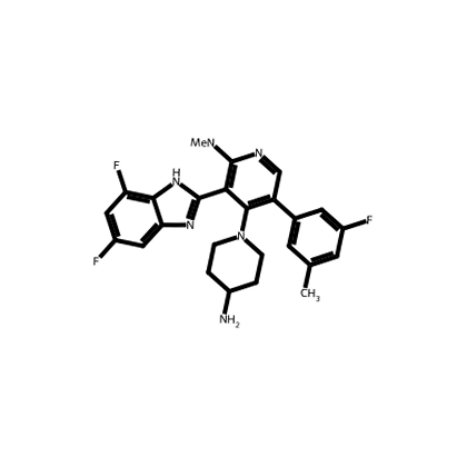 CNc1ncc(-c2cc(C)cc(F)c2)c(N2CCC(N)CC2)c1-c1nc2cc(F)cc(F)c2[nH]1